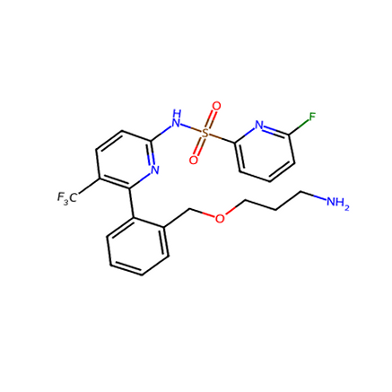 NCCCOCc1ccccc1-c1nc(NS(=O)(=O)c2cccc(F)n2)ccc1C(F)(F)F